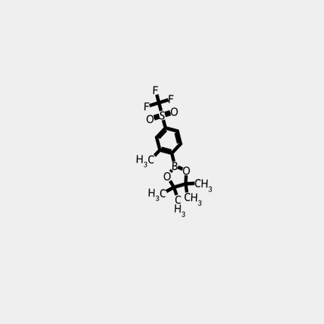 Cc1cc(S(=O)(=O)C(F)(F)F)ccc1B1OC(C)(C)C(C)(C)O1